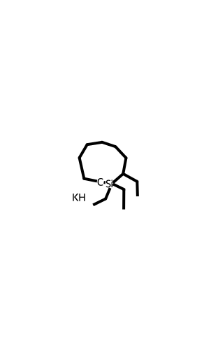 CCC1CCCCCCC[Si]1(CC)CC.[KH]